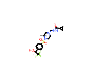 C[C@@H]1CN(CNC(=O)C2CC2)CCN1S(=O)(=O)c1ccc([C@](C)(O)C(F)(F)F)cc1